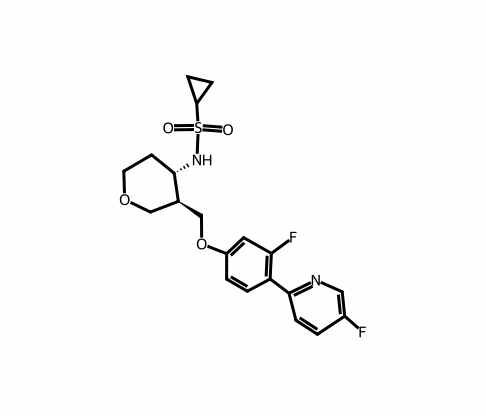 O=S(=O)(N[C@H]1CCOC[C@@H]1COc1ccc(-c2ccc(F)cn2)c(F)c1)C1CC1